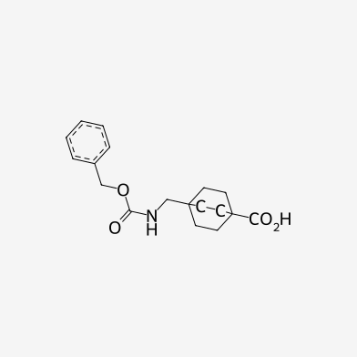 O=C(NCC12CCC(C(=O)O)(CC1)CC2)OCc1ccccc1